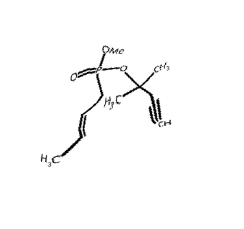 C#CC(C)(C)OP(=O)(CC=CC)OC